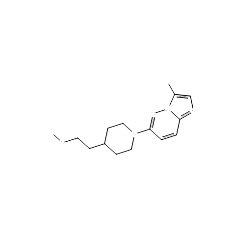 O=C(O)NCCC1CCN(c2ccc3ncc(Br)n3n2)CC1